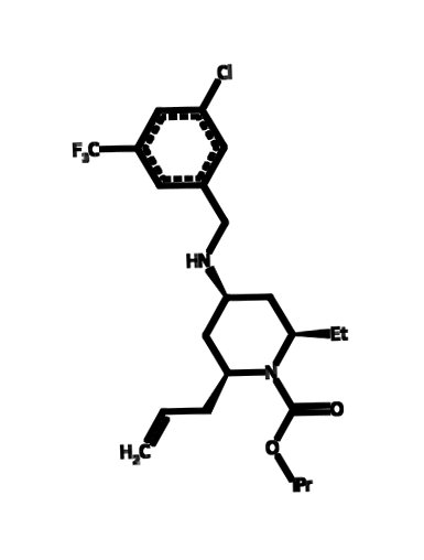 C=CC[C@H]1C[C@@H](NCc2cc(Cl)cc(C(F)(F)F)c2)C[C@@H](CC)N1C(=O)OC(C)C